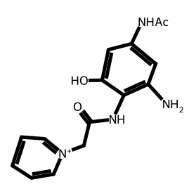 CC(=O)Nc1cc(N)c(NC(=O)C[n+]2ccccc2)c(O)c1